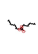 CC(C)CCC[C@@H](C)CCC[C@@H](C)CCCC(C)CCOc1cc(C[O])cc(OCCC(C)CCC[C@H](C)CCC[C@H](C)CCCC(C)C)c1